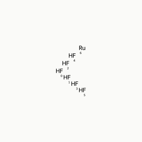 F.F.F.F.F.F.[Ru]